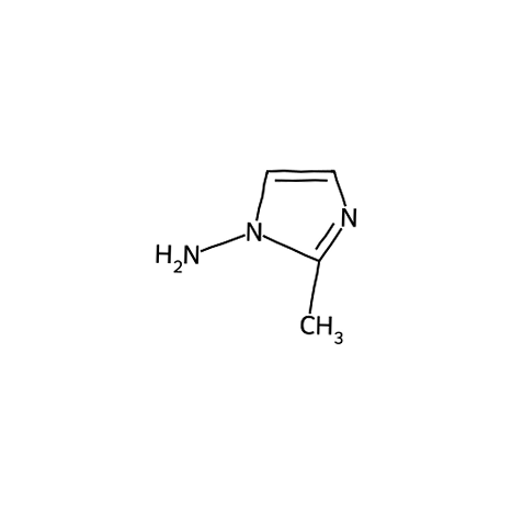 Cc1nccn1N